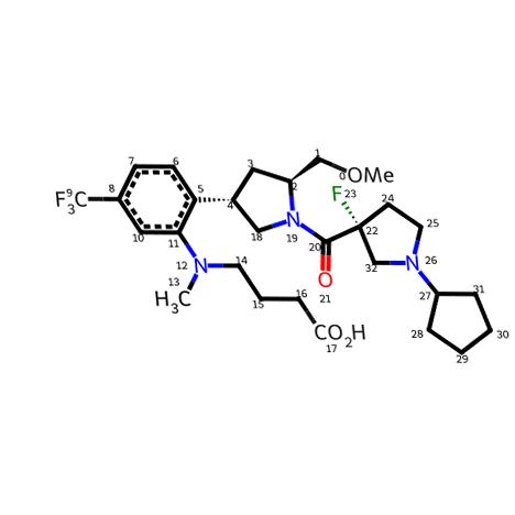 COC[C@@H]1C[C@@H](c2ccc(C(F)(F)F)cc2N(C)CCCC(=O)O)CN1C(=O)[C@@]1(F)CCN(C2CCCC2)C1